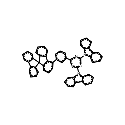 c1cc(-c2nc(-n3c4ccccc4c4ccccc43)nc(-n3c4ccccc4c4ccccc43)n2)cc(-c2cccc3c2-c2ccccc2C32c3ccccc3-c3ccccc32)c1